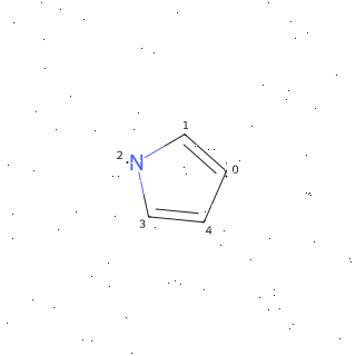 [C]1=C[N]C=C1